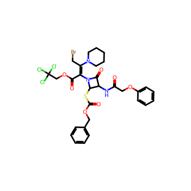 O=C(COc1ccccc1)NC1C(=O)N(C(C(=O)OCC(Cl)(Cl)Cl)=C(CBr)N2CCCCC2)C1SC(=O)OCc1ccccc1